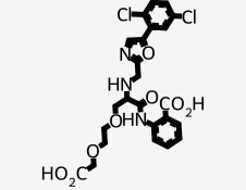 O=C(O)COCCOCC(NCc1ncc(-c2cc(Cl)ccc2Cl)o1)C(=O)Nc1ccccc1C(=O)O